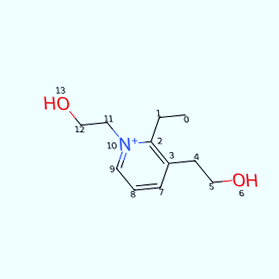 CCc1c(CCO)ccc[n+]1CCO